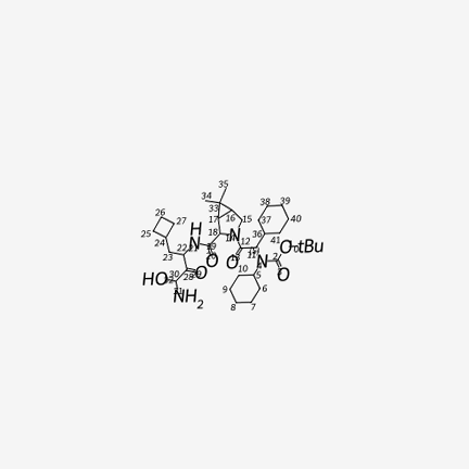 CC(C)(C)OC(=O)N(C1CCCCC1)[C@H](C(=O)N1CC2C(C1C(=O)NC(CC1CCC1)C(=O)C(N)O)C2(C)C)C1CCCCC1